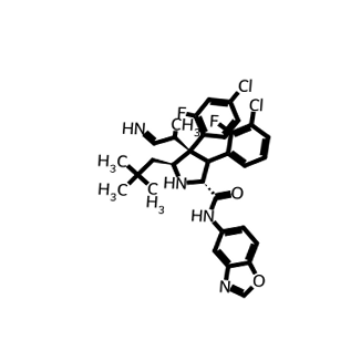 CC(C=N)[C@@]1(c2ccc(Cl)cc2F)C(c2cccc(Cl)c2F)[C@H](C(=O)Nc2ccc3ocnc3c2)N[C@H]1CC(C)(C)C